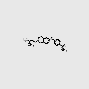 CC(C)CCN1CCc2cc(Oc3ccc(C(N)=O)cc3)ccc2C1